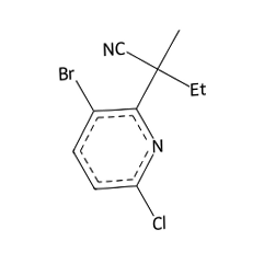 CCC(C)(C#N)c1nc(Cl)ccc1Br